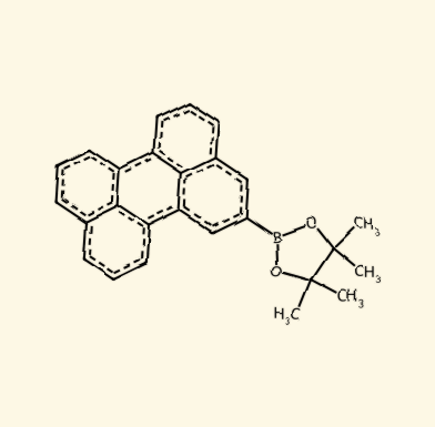 CC1(C)OB(c2cc3cccc4c5cccc6cccc(c(c2)c34)c65)OC1(C)C